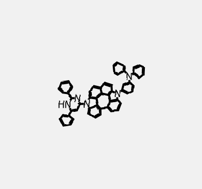 C1=C(c2ccccc2)NC(c2ccccc2)N=C1n1c2cccc3c2c2c4c(ccc21)ccc1c4c2c-3cccc2n1-c1cccc(N(c2ccccc2)c2ccccc2)c1